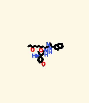 CCC(=O)CCCCC[C@H](NC(=O)Cc1c(C)[nH]c2ccc(OC)cc12)c1ncc(-c2ccc3ccccc3c2)[nH]1